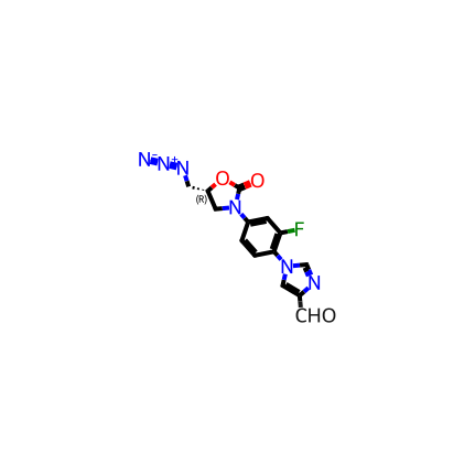 [N-]=[N+]=NC[C@H]1CN(c2ccc(-n3cnc(C=O)c3)c(F)c2)C(=O)O1